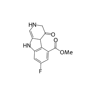 COC(=O)c1cc(F)cc2c1C1C(=O)CNC=C1N2